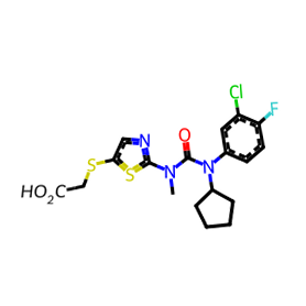 CN(C(=O)N(c1ccc(F)c(Cl)c1)C1CCCC1)c1ncc(SCC(=O)O)s1